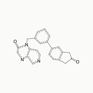 O=C1Cc2ccc(-c3cccc(Cn4c(=O)cnc5cnccc54)c3)cc2C1